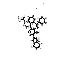 COC(=O)N1CCN2C(=O)C(NC(=O)c3cc4ccccc4[nH]3)N=C(c3ccccc3)c3cccc1c32